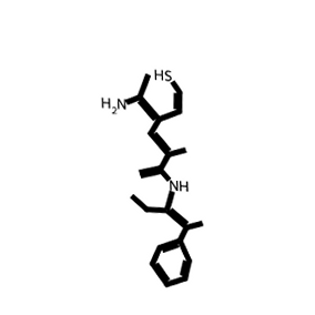 C=C(N/C(CC)=C(\C)c1ccccc1)/C(C)=C/C(/C=C\S)=C(/C)N